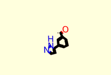 O=[C]c1cccc(-c2ccn[nH]2)c1